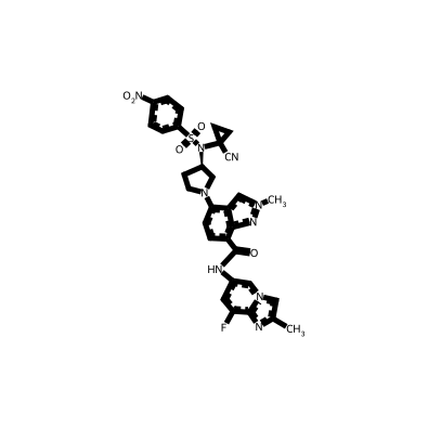 Cc1cn2cc(NC(=O)c3ccc(N4CC[C@@H](N(C5(C#N)CC5)S(=O)(=O)c5ccc([N+](=O)[O-])cc5)C4)c4cn(C)nc34)cc(F)c2n1